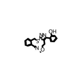 COCCc1c(-c2ccccc2O)nnn1SCc1ccccc1C#N